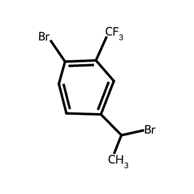 CC(Br)c1ccc(Br)c(C(F)(F)F)c1